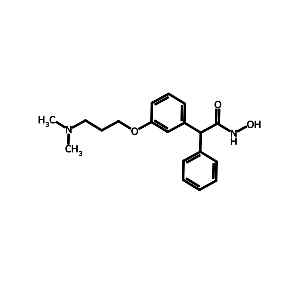 CN(C)CCCOc1cccc(C(C(=O)NO)c2ccccc2)c1